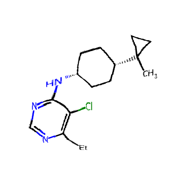 CCc1ncnc(N[C@H]2CC[C@@H](C3(C)CC3)CC2)c1Cl